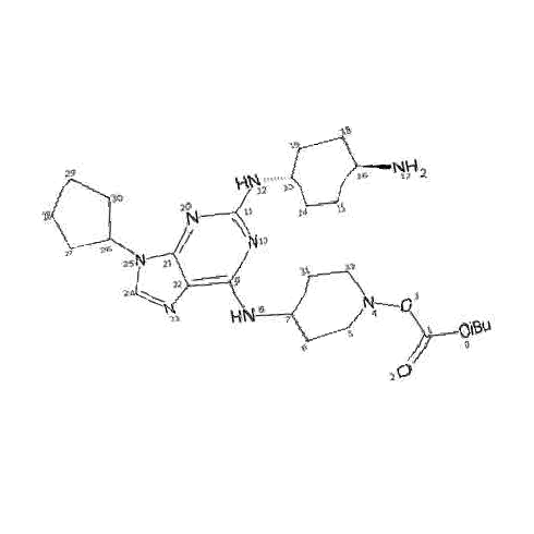 CC(C)COC(=O)ON1CCC(Nc2nc(N[C@H]3CC[C@H](N)CC3)nc3c2ncn3C2CCCC2)CC1